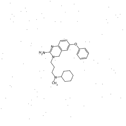 CN(CCCN1Cc2cc(Oc3ccccc3)ccc2N=C1N)C1CCCCC1